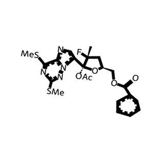 CSc1nc(SC)c2ncc([C@]3(OC(C)=O)O[C@H](COC(=O)c4ccccc4)C[C@@]3(C)F)n2n1